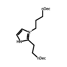 CCCCCCCCCCCCC[n+]1cc[nH]c1CCCCCCCCCCCC